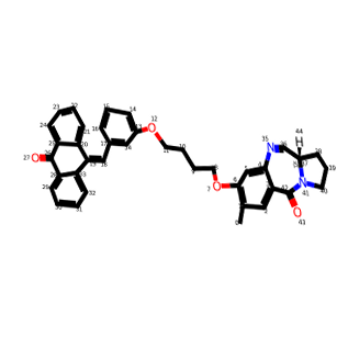 Cc1cc2c(cc1OCCCCOc1cccc(C=C3c4ccccc4C(=O)c4ccccc43)c1)N=C[C@@H]1CCCN1C2=O